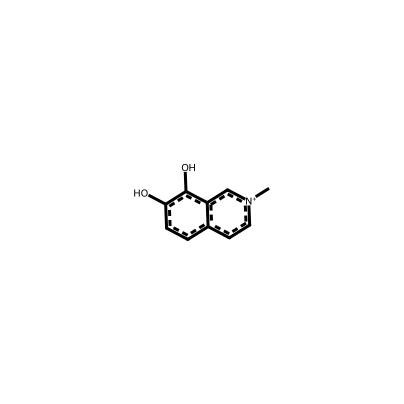 C[n+]1ccc2ccc(O)c(O)c2c1